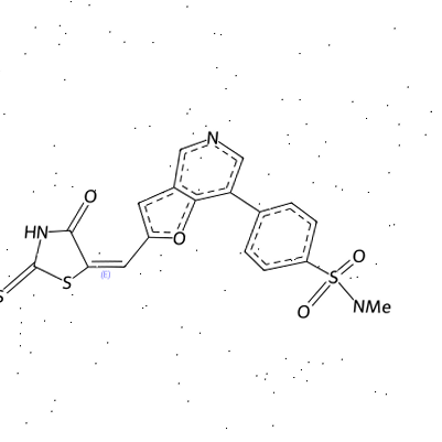 CNS(=O)(=O)c1ccc(-c2cncc3cc(/C=C4/SC(=S)NC4=O)oc23)cc1